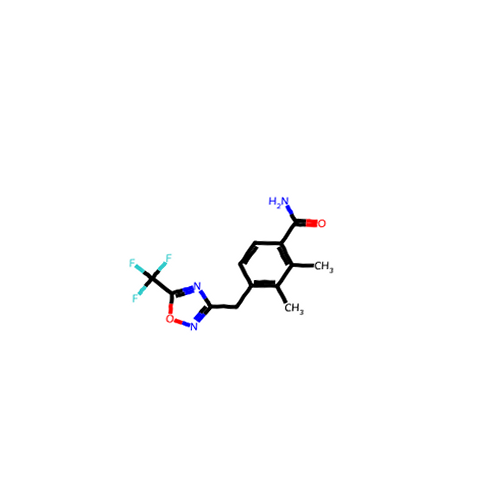 Cc1c(Cc2noc(C(F)(F)F)n2)ccc(C(N)=O)c1C